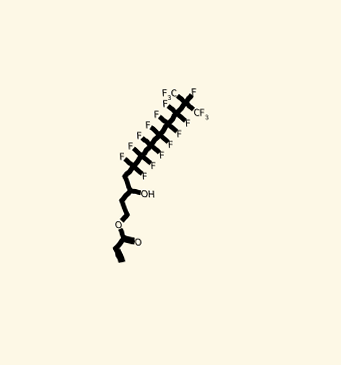 C=CC(=O)OCCC(O)CC(F)(F)C(F)(F)C(F)(F)C(F)(F)C(F)(F)C(F)(F)C(F)(C(F)(F)F)C(F)(F)F